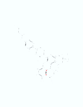 Cc1ccc([C@H](F)c2c(C3CCN(c4ncc(OC[C@H](O)CO)cn4)CC3)nc3c(c2C2CCC(F)(F)CC2)[C@@H](O)CC(C)(C)C3)cc1